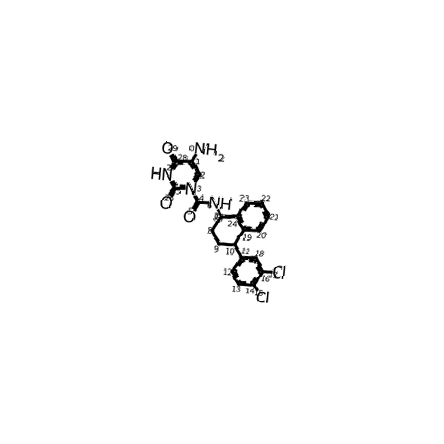 Nc1cn(C(=O)N[C@@H]2CCC(c3ccc(Cl)c(Cl)c3)c3ccccc32)c(=O)[nH]c1=O